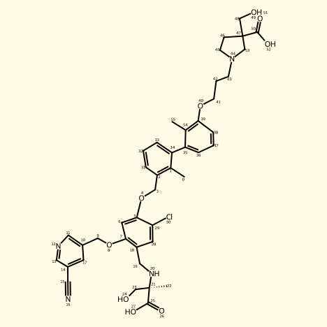 Cc1c(COc2cc(OCc3cncc(C#N)c3)c(CN[C@](C)(CO)C(=O)O)cc2Cl)cccc1-c1cccc(OCCCN2CCC(CO)(C(=O)O)C2)c1C